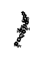 C=CC(=O)Nc1cc(Nc2nc(-c3ccnc(N4CCn5c(cc6c5CC(C)(C)C6)C4=O)c3CO)cn(C)c2=O)ccc1N1CCN(C2CCN(c3ccnc(C(C)C)c3)CC2)C[C@@H]1C